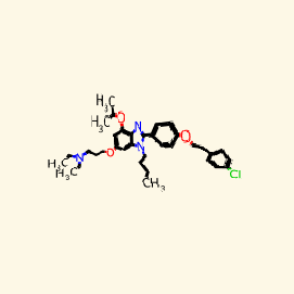 CCCCn1c(-c2ccc(OCCc3ccc(Cl)cc3)cc2)nc2c(OC(C)C)cc(OCCCN(CC)CC)cc21